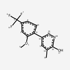 COc1cc(C(F)(F)F)ccc1-c1cc(C)c(O)nn1